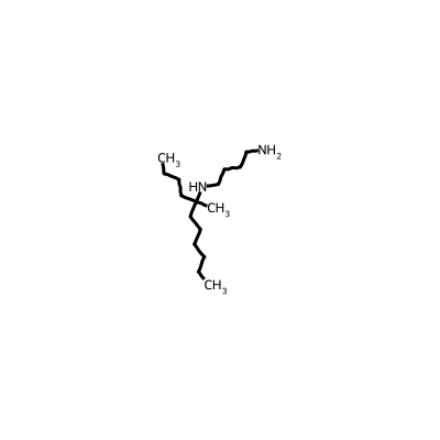 CCCCCCC(C)(CCCC)NCCCCN